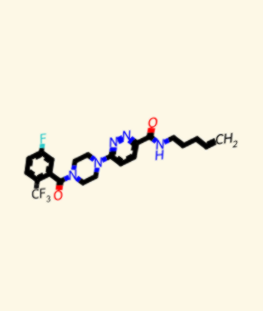 C=CCCCNC(=O)c1ccc(N2CCN(C(=O)c3cc(F)ccc3C(F)(F)F)CC2)nn1